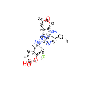 Cc1cnc(Nc2cc(F)c3c(c2)C=CB(O)O3)nc1N[C@@H]1COCC[C@H]1C#N